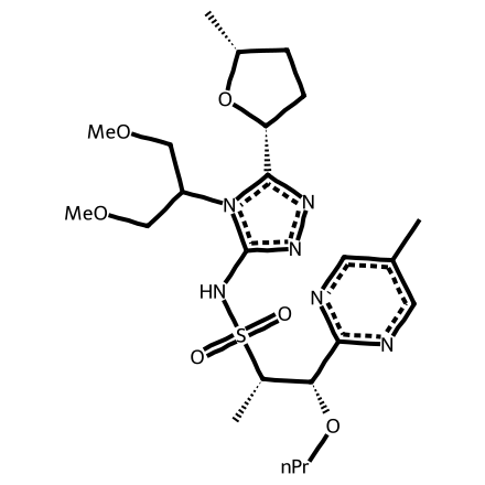 CCCO[C@@H](c1ncc(C)cn1)[C@H](C)S(=O)(=O)Nc1nnc([C@H]2CC[C@@H](C)O2)n1C(COC)COC